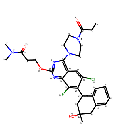 CCC(=O)N1CCN(c2nc(OCCC(=O)N(C)C)nc3c(F)c(C4CC(C)(O)Cc5ccccc54)c(Cl)cc23)CC1